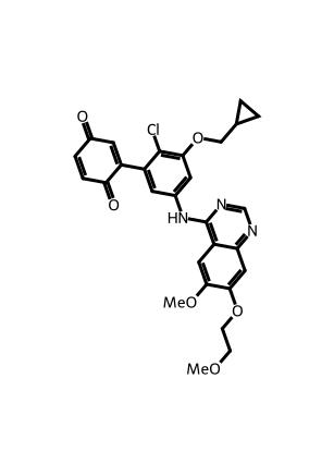 COCCOc1cc2ncnc(Nc3cc(OCC4CC4)c(Cl)c(C4=CC(=O)C=CC4=O)c3)c2cc1OC